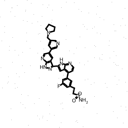 NS(=O)(=O)CCc1cc(F)cc(-c2ccnc3[nH]c(-c4n[nH]c5ncc(-c6cncc(CN7CCCC7)c6)cc45)cc23)c1